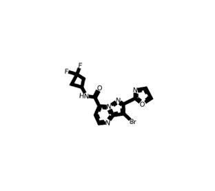 O=C(NC1CC(F)(F)C1)c1ccnc2c(Br)c(-c3ncco3)nn12